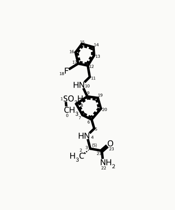 CS(=O)(=O)O.C[C@H](NCc1ccc(NCc2ccccc2F)cc1)C(N)=O